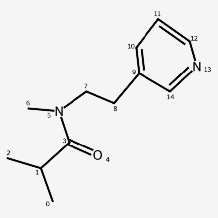 CC(C)C(=O)N(C)CCc1cccnc1